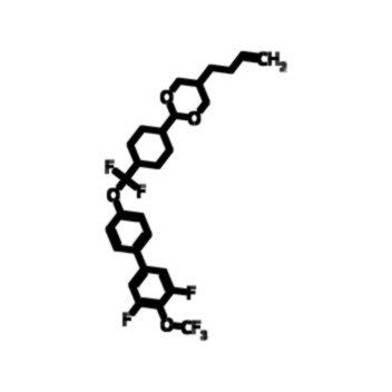 C=CCCC1COC(C2CCC(C(F)(F)Oc3ccc(-c4cc(F)c(OC(F)(F)F)c(F)c4)cc3)CC2)OC1